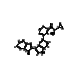 OC(Nc1cncc(-c2cc3c(-c4cc5cnccc5[nH]4)n[nH]c3cn2)c1)C1CC1